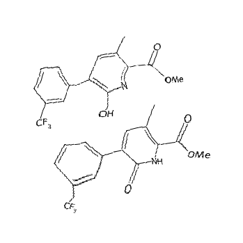 COC(=O)c1[nH]c(=O)c(-c2cccc(C(F)(F)F)c2)cc1C.COC(=O)c1nc(O)c(-c2cccc(C(F)(F)F)c2)cc1C